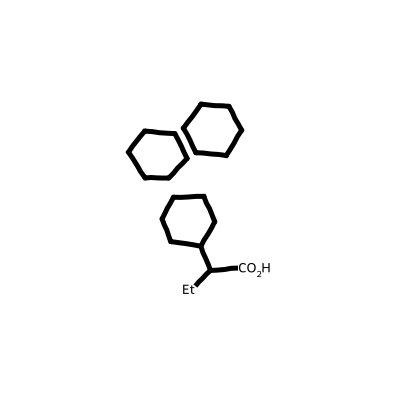 C1CCCCC1.C1CCCCC1.CCC(C(=O)O)C1CCCCC1